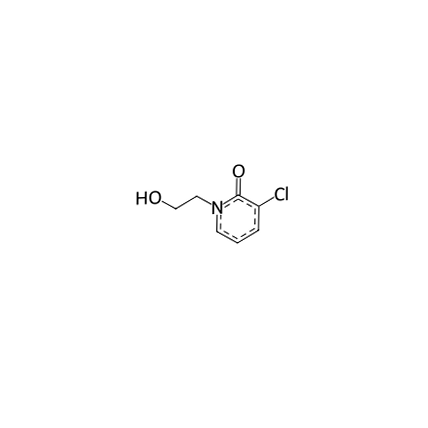 O=c1c(Cl)cccn1CCO